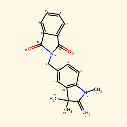 C=C1N(C)c2ccc(CN3C(=O)c4ccccc4C3=O)cc2C1(C)C